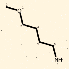 COCCCC[NH]